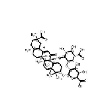 CC1(C)[C@@H](O[C@H]2OC(C(=O)O)[C@@H](O)[C@H](O)[C@H]2O[C@H]2O[C@@H](C(=O)O)[C@H](O)[C@@H](O)[C@@H]2O)CC[C@]2(C)[C@H]3C(=O)C=C4[C@@H]5C[C@@](C)(C(=O)O)CC[C@]5(C)CC[C@@]4(C)[C@]3(C)CC[C@@H]12